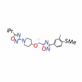 CSc1ccc(-c2noc([C@@H](C)OC3CCN(c4noc(C(C)C)n4)CC3)n2)cc1C